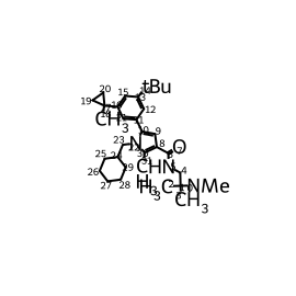 CNC(C)(C)CNC(=O)c1cc(-c2cc(C(C)(C)C)cc(C3(C)CC3)c2)n(CC2CCCCC2)c1C